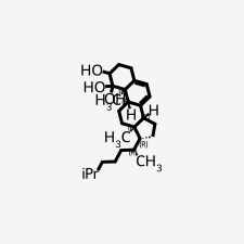 CC(C)CCC[C@@H](C)[C@H]1CC[C@H]2C3=CC=C4CCC(O)C(O)(O)[C@]4(C)[C@H]3CC[C@]12C